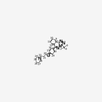 CC(C)(C)c1nnc2c3ccccc3c(-c3ccc(OCCCN4CCCCC4)cc3)nn12